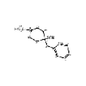 N#CC1(Cc2ccccn2)CCN(C(=O)O)CC1